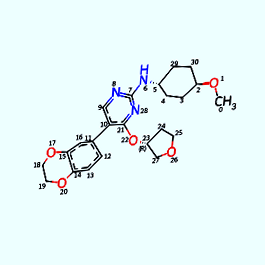 CO[C@H]1CC[C@H](Nc2ncc(-c3ccc4c(c3)OCCO4)c(O[C@@H]3CCOC3)n2)CC1